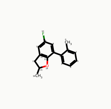 Cc1ccccc1-c1cc(F)cc2c1OC(C)C2